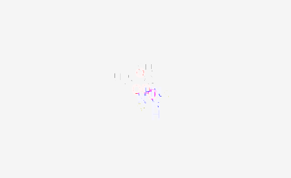 C=CCOC(=O)N1CSC[C@H]1C(=O)N[C@H](CCC1CCCCC1)C(=S)NCc1ccc(OC)cc1